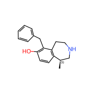 C[C@@H]1CNCCc2c1ccc(O)c2Cc1ccccc1